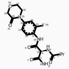 CC(C)C(=O)N[C@@H](C(N)=O)C(=O)Nc1ccc(N2CCOCC2=O)cc1F